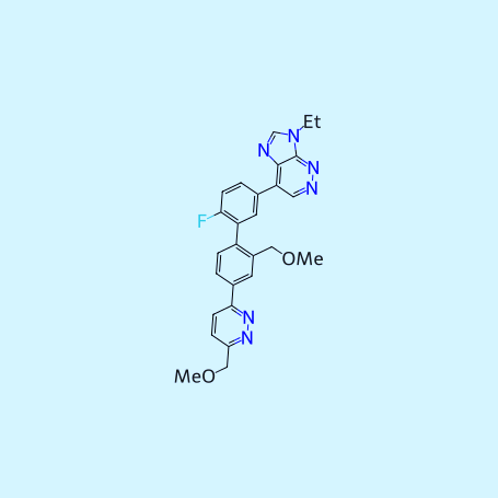 CCn1cnc2c(-c3ccc(F)c(-c4ccc(-c5ccc(COC)nn5)cc4COC)c3)cnnc21